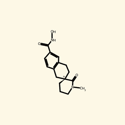 CN1CCC[C@@]2(CCc3cc(C(=O)NO)ccc3C2)C1=O